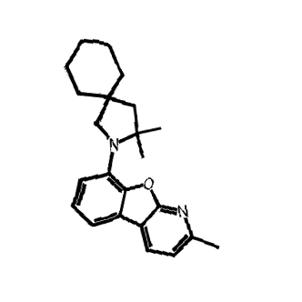 Cc1ccc2c(n1)oc1c(N3CC4(CCCCC4)CC3(C)C)cccc12